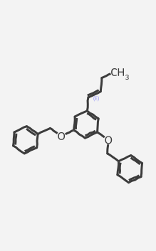 CC/C=C/c1cc(OCc2ccccc2)cc(OCc2ccccc2)c1